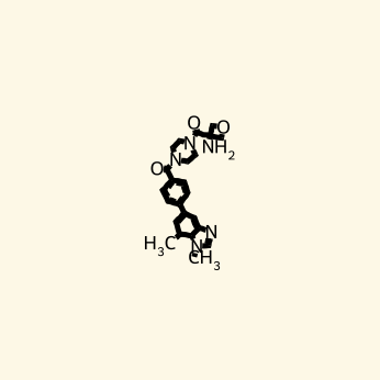 CC1C=C(c2ccc(C(=O)N3CCN(C(=O)C4(N)COC4)CC3)cc2)C=C2N=CN(C)C21